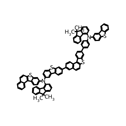 CC1(C)c2ccccc2-c2c(N(c3ccc(-c4ccc5c(c4)sc4ccc6cc(-c7ccc8c(c7)sc7ccc(N(c9ccc%10c(c9)sc9ccc%11ccccc%11c9%10)c9cccc%10c9-c9ccccc9C%10(C)C)cc78)ccc6c45)cc3)c3ccc4sc5ccccc5c4c3)cccc21